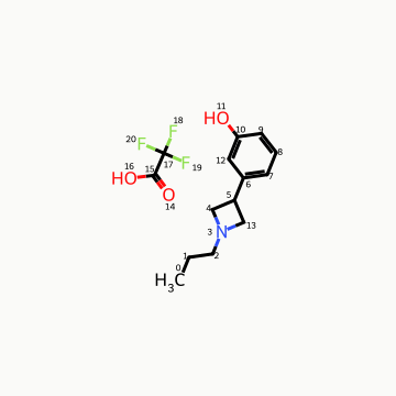 CCCN1CC(c2cccc(O)c2)C1.O=C(O)C(F)(F)F